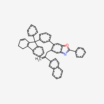 C=C(Cc1cc2nc(-c3ccccc3)oc2cc1-c1cccc(C2(c3ccccc3)C3=C(CCC=C3)c3ccccc32)c1)c1ccc2ccccc2c1